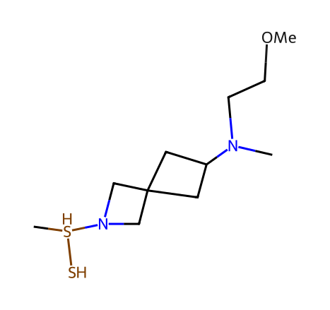 COCCN(C)C1CC2(C1)CN([SH](C)S)C2